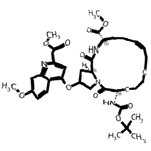 COC(=O)c1cc(OC2C[C@H]3C(=O)N[C@H](C(=O)OC)CCC=CCCCCC[C@H](NC(=O)OC(C)(C)C)C(=O)N3C2)c2ccc(OC)cc2n1